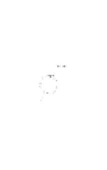 [CH2]c1ccc(C=C)nc1